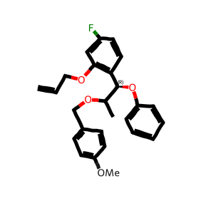 C=CCOc1cc(F)ccc1[C@@H](Oc1ccccc1)C(C)OCc1ccc(OC)cc1